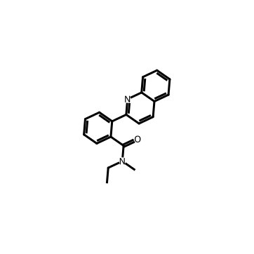 CCN(C)C(=O)c1ccccc1-c1ccc2ccccc2n1